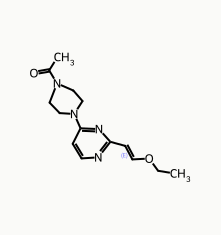 CCO/C=C/c1nccc(N2CCN(C(C)=O)CC2)n1